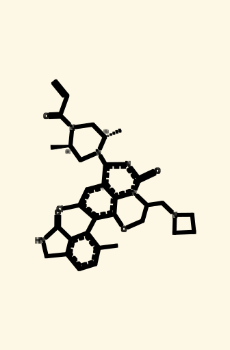 C=CC(=O)N1C[C@H](C)N(c2nc(=O)n3c4c(c(-c5c(C)ccc6c5C(=O)NC6)c(Cl)cc24)OCC3CN2CCC2)C[C@H]1C